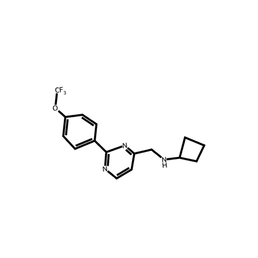 FC(F)(F)Oc1ccc(-c2nccc(CNC3CCC3)n2)cc1